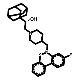 O[C@H](CN1CCC(CN2Sc3ccccc3-c3ccc(F)cc32)CC1)C12CC3CC(CC(C3)C1)C2